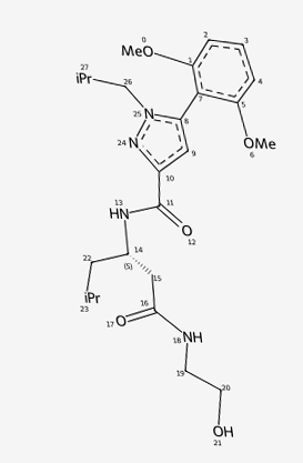 COc1cccc(OC)c1-c1cc(C(=O)N[C@H](CC(=O)NCCO)CC(C)C)nn1CC(C)C